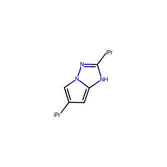 CC(C)c1cc2[nH]c(C(C)C)nn2c1